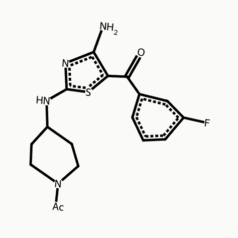 CC(=O)N1CCC(Nc2nc(N)c(C(=O)c3cccc(F)c3)s2)CC1